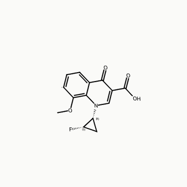 COc1[c]ccc2c(=O)c(C(=O)O)cn([C@@H]3C[C@@H]3F)c12